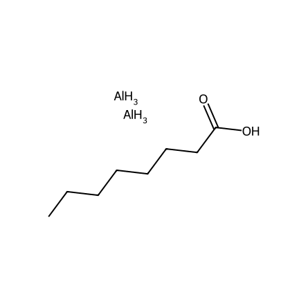 CCCCCCCC(=O)O.[AlH3].[AlH3]